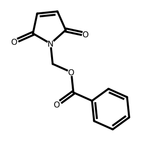 O=C(OCN1C(=O)C=CC1=O)c1ccccc1